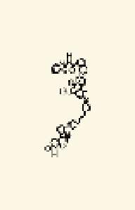 Cc1c(OC2CCC(CCCN3CCN(c4cccc5c(C6CCC(=O)NC6=O)nn(C)c45)CC3)CC2)cccc1-c1ccc(N2CCc3cccc(C(=O)Nc4nc5ccccc5s4)c3C2)nc1C(=O)OC(C)(C)C